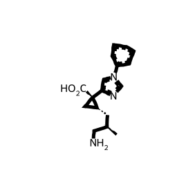 C[C@@H](CN)C[C@@H]1C[C@]1(C(=O)O)c1cn(-c2ccccc2)cn1